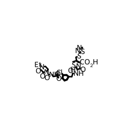 CCN1CCN(C(=O)NCC(=O)Oc2ccc(CC(=O)NC3C(=O)N4C(C(=O)O)=C(CSc5nncs5)CS[C@@H]34)cc2Cl)C(=O)C1=O